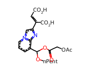 CCCCCOC(OC(=O)COC(C)=O)c1cccn2cc(/C(=C/C(=O)O)C(=O)O)nc12